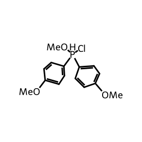 COc1ccc([PH](Cl)(OC)c2ccc(OC)cc2)cc1